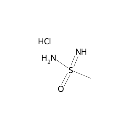 CS(=N)(N)=O.Cl